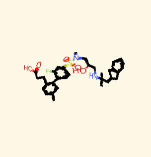 Cc1ccc(CCC(=O)O)c(-c2ccc(S(=O)(=O)N(C)C[C@H](O)CNC(C)(C)CC3Cc4ccccc4C3)cc2F)c1